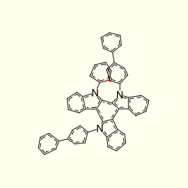 c1ccc(-c2ccc(-n3c4ccccc4c4c5c6ccccc6n(-c6ccc(-c7ccccc7)cc6)c5c5c(c6ccccc6n5-c5ccccc5)c43)cc2)cc1